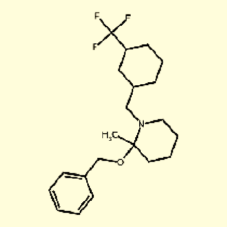 CC1(OCc2ccccc2)CCCCN1CC1CCCC(C(F)(F)F)C1